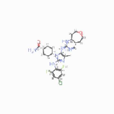 C=N/C(=N\c1c(C)nc(Nc2c(F)cc(Cl)cc2F)n1[C@H]1CC[C@@H](C(N)=O)CC1)NC1CCCOCC1